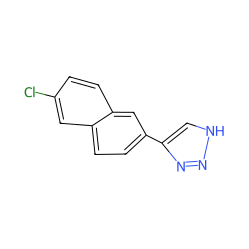 Clc1ccc2cc(-c3c[nH]nn3)ccc2c1